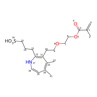 C=C(C)C(=O)OCCOCCC1=C(CCCS(=O)(=O)O)NC=CC(C)=C1C